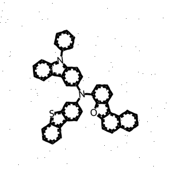 c1ccc(-n2c3ccccc3c3cc(N(c4ccc5c(c4)sc4ccccc45)c4cccc5c4oc4ccc6ccccc6c45)ccc32)cc1